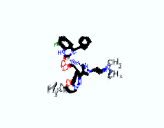 C[C@@H]1CCn2nc(-c3cnn(CCN(C)C)c3)c(C(=O)N[C@H]3N=C(c4ccccc4)c4cccc(F)c4NC3=O)c2O1